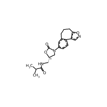 CC(C)C(=O)NC[C@H]1CN(c2ccc3c(c2)CCCc2oncc2-3)C(=O)O1